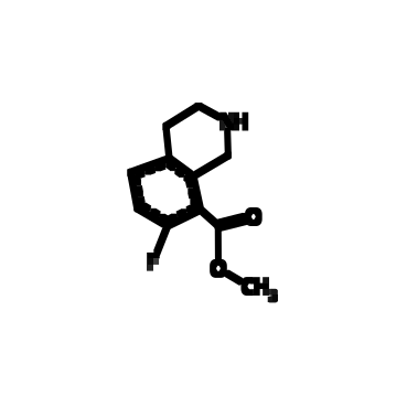 COC(=O)c1c(F)ccc2c1CNCC2